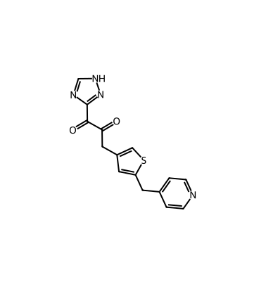 O=C(Cc1csc(Cc2ccncc2)c1)C(=O)c1nc[nH]n1